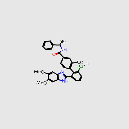 CCC[C@@H](NC(=O)c1ccc(-c2c(Cl)cccc2-c2nc3cc(OC)c(OC)cc3[nH]2)c(C(=O)O)c1)c1ccccc1